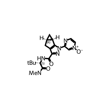 CNC(=O)[C@@H](NC(=O)c1nn(-c2c[n+]([O-])ccn2)c2c1C[C@H]1C[C@@H]21)C(C)(C)C